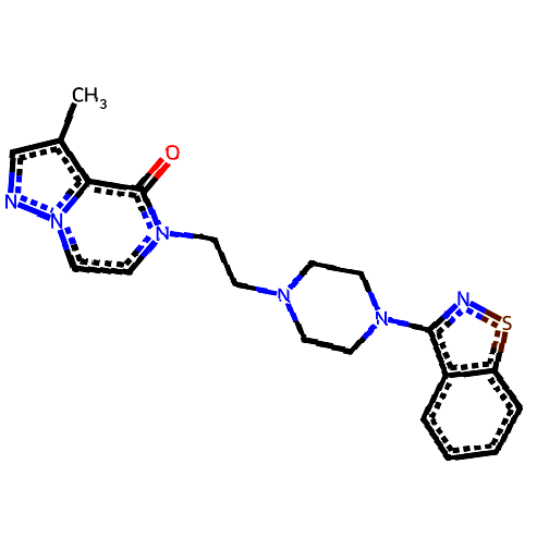 Cc1cnn2ccn(CCN3CCN(c4nsc5ccccc45)CC3)c(=O)c12